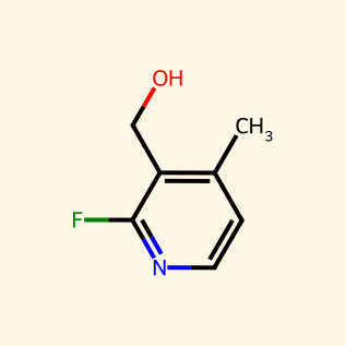 Cc1ccnc(F)c1CO